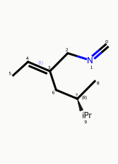 C=NC/C(=C/C)C[C@@H](C)C(C)C